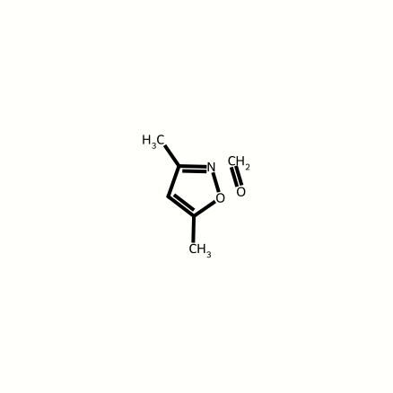 C=O.Cc1cc(C)on1